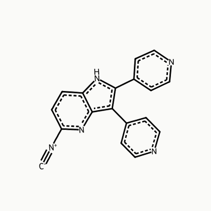 [C-]#[N+]c1ccc2[nH]c(-c3ccncc3)c(-c3ccncc3)c2n1